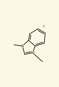 Cn1c[n+](C)c2ccccc21.[I-]